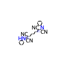 N#CC(=Nc1ccccc1)/C(C#N)=C/C=CC=C/C(C#N)=C(\C#N)Nc1ccccc1